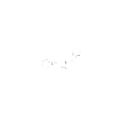 O=[PH](OCN1CCCC1)OCN1CCCC1